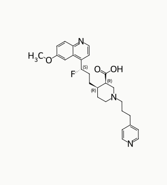 COc1ccc2nccc([C@@H](F)CC[C@@H]3CCN(CCCc4ccncc4)C[C@@H]3C(=O)O)c2c1